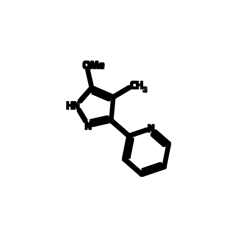 COc1[nH]nc(-c2ccccn2)c1C